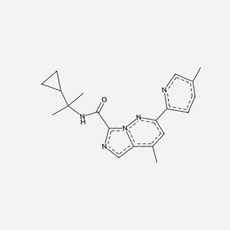 Cc1ccc(-c2cc(C)c3cnc(C(=O)NC(C)(C)C4CC4)n3n2)nc1